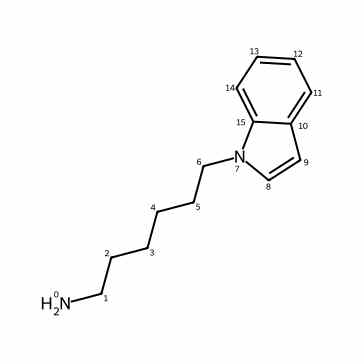 NCCCCCCn1ccc2ccccc21